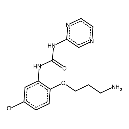 NCCCOc1ccc(Cl)cc1NC(=O)Nc1cnccn1